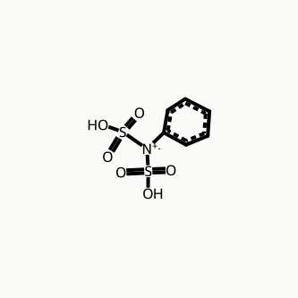 O=S(=O)(O)[N+](c1ccccc1)S(=O)(=O)O